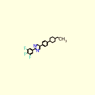 CCC1CCC(c2ccc(-c3cnc(-c4cc(F)c(F)c(F)c4)nc3)cc2)CC1